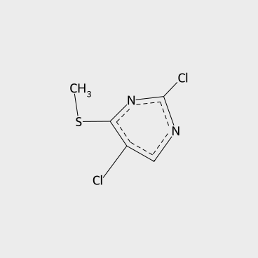 CSc1nc(Cl)ncc1Cl